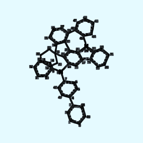 c1ccc(-c2ccc(N(c3ccccc3)c3cc4c5ccccc5n5c4c4c3C3(CCCCC3)c3cccc(c3-4)-c3ccccc3-5)cc2)cc1